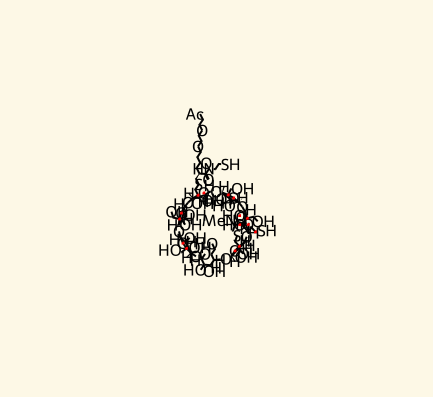 CN[C@H](CSCC1O[C@H]2O[C@H]3C(CO)O[C@H](O[C@@H]4C(CO)O[C@H](O[C@@H]5C(CO)O[C@H](O[C@@H]6C(CSC[C@@H](CC(=O)CCOCCOCCC(C)=O)C(=O)NCCS)O[C@H](O[C@@H]7C(CO)O[C@@H](O[C@H]8C(CO)O[C@@H](O[C@@H]1[C@H](O)C2O)C(O)[C@H]8O)C(O)[C@H]7O)C(O)[C@H]6O)C(O)[C@H]5O)C(O)[C@H]4O)C(O)[C@H]3O)C(=O)NCCS